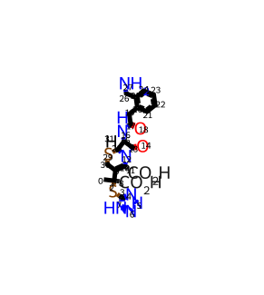 CC(Sc1nnn[nH]1)(C(=O)O)C1=C(C(=O)O)N2C(=O)C(NC(=O)Cc3ccccc3CN)[C@H]2SC1